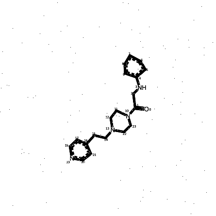 O=C(CNc1ccccc1)N1CCN(CCc2ccncc2)CC1